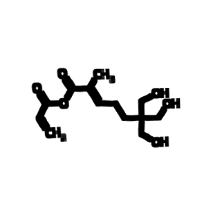 C=CC(=O)OC(=O)C(C)=CCCC(CO)(CO)CO